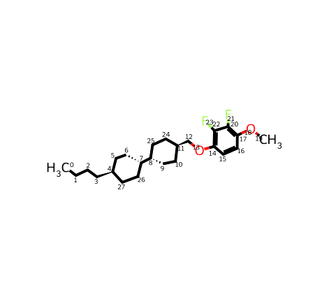 CCCC[C@H]1CC[C@H]([C@H]2CC[C@H](COc3ccc(OC)c(F)c3F)CC2)CC1